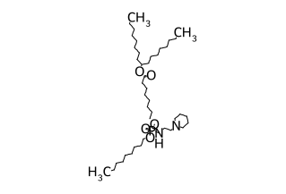 CCCCCCCCCOP(=O)(NCCN1CCCCC1)OCCCCCCCC(=O)OC(CCCCCCCC)CCCCCCCC